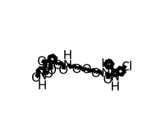 O=C(COc1cccc2c1C(=O)N(C1CCC(=O)NC1=O)C2=O)NCCOCCOCCOCCNC(=O)c1[nH]c2ccc(Cl)cc2c1-c1ccccc1